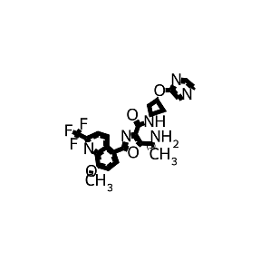 COc1ccc(-c2nc(C(=O)N[C@H]3C[C@@H](Oc4cnccn4)C3)c([C@H](C)N)o2)c2ccc(C(F)(F)F)nc12